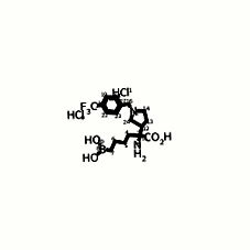 Cl.Cl.NC(CCCCB(O)O)(C(=O)O)C1CCN(Cc2ccc(C(F)(F)F)cc2)C1